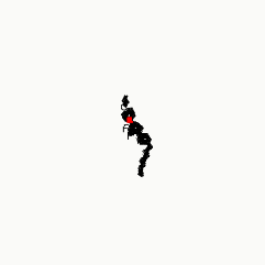 CCCCCCCCc1ccc(-c2ccc(-c3ccc(OCCC)cc3)c(F)c2F)cc1